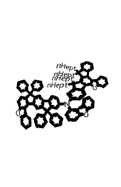 CCCCCCCC1(CCCCCCC)c2cc(N(c3ccc4c(c3)C(c3ccccc3)(c3ccccc3)c3cc5c(cc3-4)C(c3ccccc3)(c3ccccc3)c3ccc4oc6ccccc6c4c3-5)c3cccc4oc5ccccc5c34)ccc2-c2c1c1c(c3c2oc2ccccc23)-c2ccccc2C1(CCCCCCC)CCCCCCC